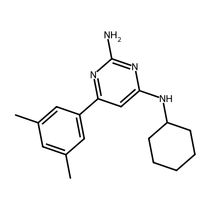 Cc1cc(C)cc(-c2cc(NC3CCCCC3)nc(N)n2)c1